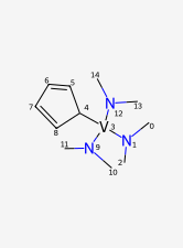 C[N](C)[V]([CH]1C=CC=C1)([N](C)C)[N](C)C